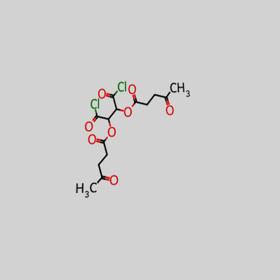 CC(=O)CCC(=O)OC(C(=O)Cl)C(OC(=O)CCC(C)=O)C(=O)Cl